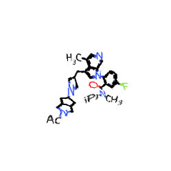 CC(=O)N1CC2CC(N3CC(Cc4cn(-c5ccc(F)cc5C(=O)N(C)C(C)C)c5cncc(C)c45)C3)CC2C1